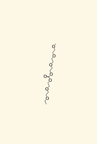 CCOCCOCCOC(=O)OCCOCCOCCOC